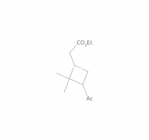 CCOC(=O)CC1CC(C(C)=O)C1(C)C